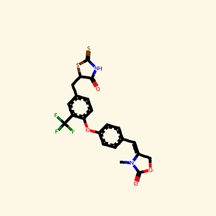 CN1C(=O)OCC1=Cc1ccc(Oc2ccc(CC3SC(=S)NC3=O)cc2C(F)(F)F)cc1